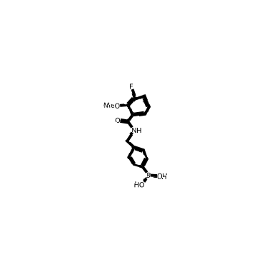 COc1c(F)cccc1C(=O)NCc1ccc(B(O)O)cc1